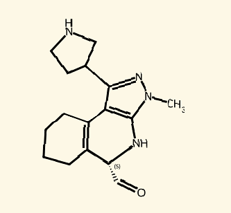 Cn1nc(C2CCNC2)c2c1N[C@H](C=O)C1=C2CCCC1